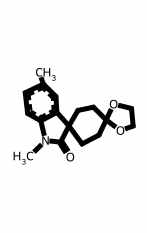 Cc1ccc2c(c1)C1(CCC3(CC1)OCCO3)C(=O)N2C